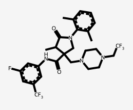 Cc1cccc(C)c1N1CC(CN2CCN(CC(F)(F)F)CC2)(C(=O)Nc2cc(F)cc(C(F)(F)F)c2)C(C)C1=O